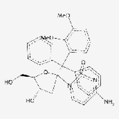 COc1cccc(C(c2ccccc2)(c2ccccc2)[C@]2(n3ccc(N)nc3=O)C[C@H](O)[C@@H](CO)O2)c1OC